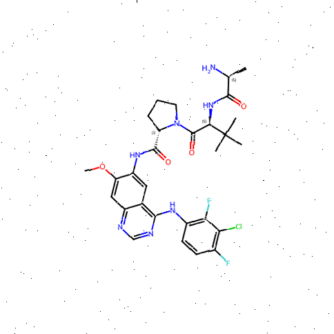 COc1cc2ncnc(Nc3ccc(F)c(Cl)c3F)c2cc1NC(=O)[C@@H]1CCCN1C(=O)[C@@H](NC(=O)[C@H](C)N)C(C)(C)C